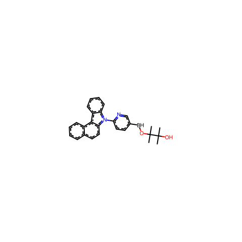 CC(C)(O)C(C)(C)OBc1ccc(-n2c3ccccc3c3c4ccccc4ccc32)nc1